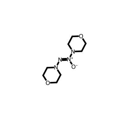 [O-][N+](=NN1CCOCC1)N1CCOCC1